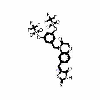 O=C1NC(=S)S/C1=C/c1ccc2c(c1)N(Cc1cc(OS(=O)(=O)C(F)(F)F)cc(OS(=O)(=O)C(F)(F)F)c1)C(=O)CO2